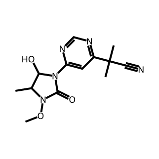 CON1C(=O)N(c2cc(C(C)(C)C#N)ncn2)C(O)C1C